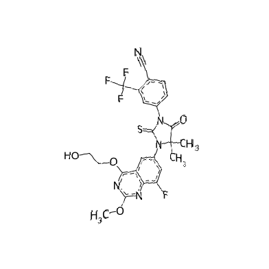 COc1nc(OCCO)c2cc(N3C(=S)N(c4ccc(C#N)c(C(F)(F)F)c4)C(=O)C3(C)C)cc(F)c2n1